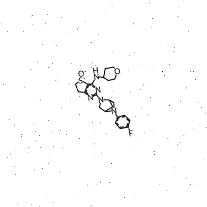 [O-][S+]1CCc2nc(N3CC4CC3CN4c3ccc(F)cc3)nc(NC3CCOCC3)c21